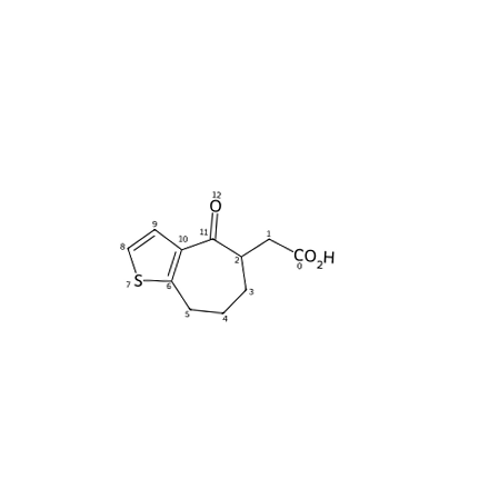 O=C(O)CC1CCCc2sccc2C1=O